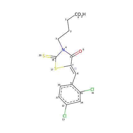 O=C(O)CCCN1C(=O)/C(=C/c2ccc(Cl)cc2Cl)SC1=S